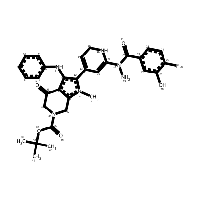 Cn1c2c(c(Nc3ccccc3)c1C1=CCNC(N(N)C(=O)c3ccc(F)c(O)c3)=C1)C(=O)CN(C(=O)OC(C)(C)C)C2